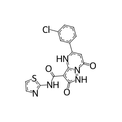 O=C(Nc1nccs1)c1c(=O)[nH]n2c(=O)cc(-c3cccc(Cl)c3)[nH]c12